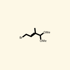 COC(OC)C(C)=CCBr